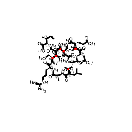 CC[C@H](C)[C@H](NC(=O)[C@@H](NC(=O)[C@H](CC(=O)O)NC(=O)[C@H](CCC(=O)O)NC(=O)[C@H](CC(=O)O)NC(=O)[C@H](CC(C)C)NC(=O)[C@H](CC(N)=O)NC(=O)[C@H](CO)NC(=O)[C@H](CCCNC(=N)N)NC(=O)[C@H](C)NC(=O)[C@@H](N)CC(C)C)[C@@H](C)CC)C(=O)O